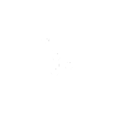 CCCN.c1ccc(P(c2ccccc2)c2ccccc2)cc1